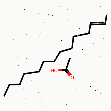 C/C=C/CCCCCCCCCCC.CC(=O)O